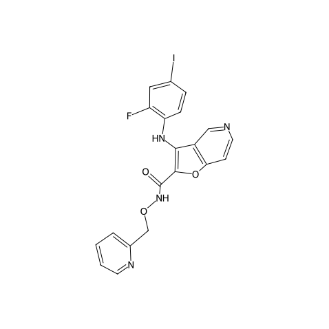 O=C(NOCc1ccccn1)c1oc2ccncc2c1Nc1ccc(I)cc1F